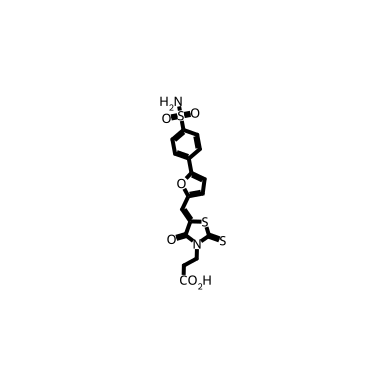 NS(=O)(=O)c1ccc(-c2ccc(/C=C3\SC(=S)N(CCC(=O)O)C3=O)o2)cc1